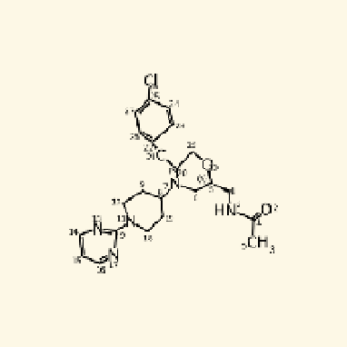 CC(=O)NC[C@H]1CN(C2CCN(c3ncccn3)CC2)[C@@H](Cc2ccc(Cl)cc2)CO1